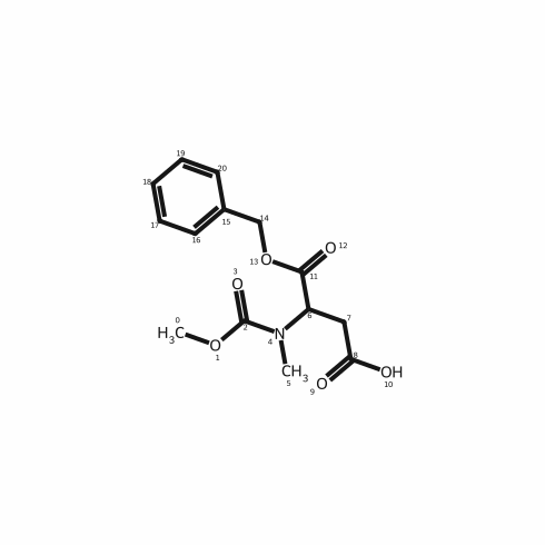 COC(=O)N(C)C(CC(=O)O)C(=O)OCc1ccccc1